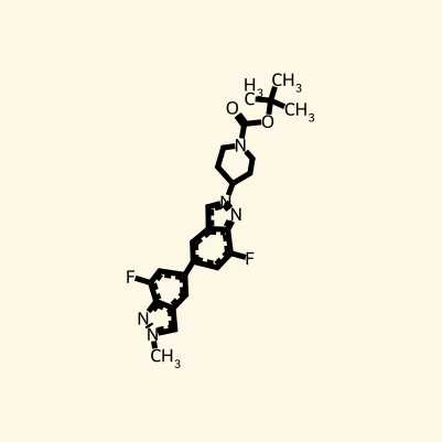 Cn1cc2cc(-c3cc(F)c4nn(C5CCN(C(=O)OC(C)(C)C)CC5)cc4c3)cc(F)c2n1